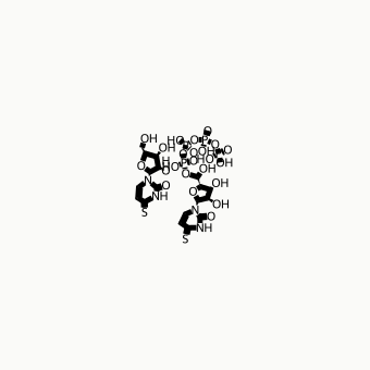 O=c1[nH]c(=S)ccn1[C@@H]1O[C@H](C(O)OP(=O)(O)OP(=O)(O)OP(=O)(O)OP(=O)(O)O)[C@@H](O)[C@H]1O.O=c1[nH]c(=S)ccn1[C@@H]1O[C@H](CO)[C@@H](O)[C@H]1O